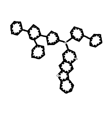 c1ccc(-c2cccc(N(c3ccc(-c4ccc(-c5ccccc5)cc4-c4ccccc4)cc3)c3cnc4cc5c(cc4c3)oc3ccccc35)c2)cc1